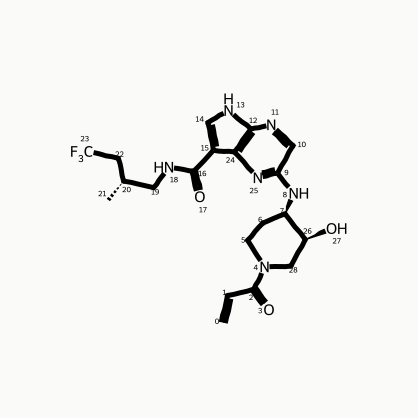 C=CC(=O)N1CC[C@@H](Nc2cnc3[nH]cc(C(=O)NC[C@H](C)CC(F)(F)F)c3n2)[C@@H](O)C1